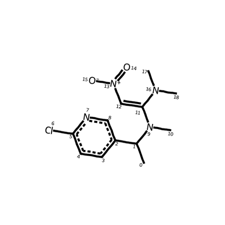 CC(c1ccc(Cl)nc1)N(C)C(=C[N+](=O)[O-])N(C)C